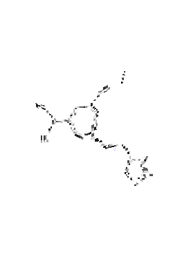 CCOc1cc(/C=C/c2ccsc2)cc(B(O)O)c1